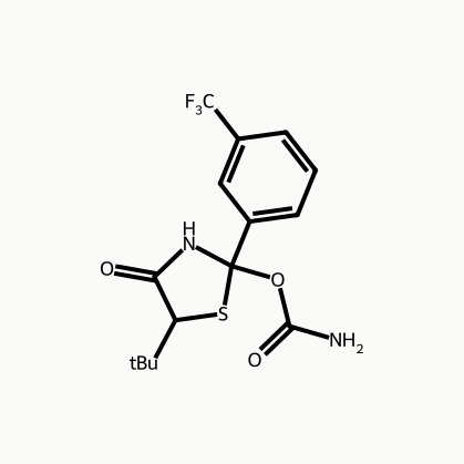 CC(C)(C)C1SC(OC(N)=O)(c2cccc(C(F)(F)F)c2)NC1=O